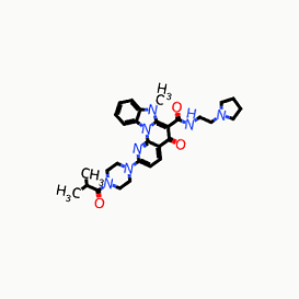 CC(C)C(=O)N1CCN(c2ccc3c(=O)c(C(=O)NCCN4CCCC4)c4n(C)c5ccccc5n4c3n2)CC1